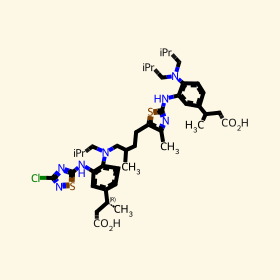 Cc1nc(Nc2cc(C(C)CC(=O)O)ccc2N(CC(C)C)CC(C)C)sc1CCC(C)CN(CC(C)C)c1ccc([C@H](C)CC(=O)O)cc1Nc1nc(Cl)ns1